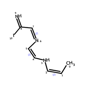 C/C=C\N/C=C\N=C/C(=N)I